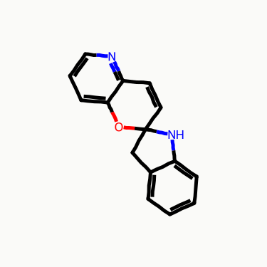 C1=CC2(Cc3ccccc3N2)Oc2cccnc21